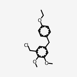 CCOc1ccc(Cc2cc(CCl)c(OC)c(OC)c2)cc1